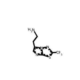 NCCc1cnc2sc(C(F)(F)F)nn12